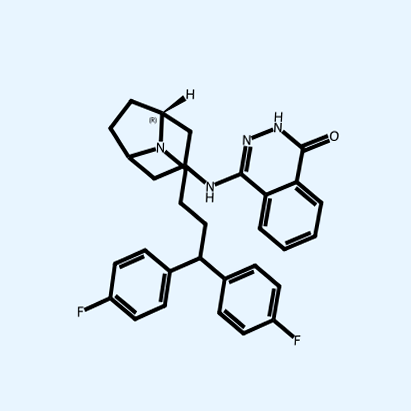 O=c1[nH]nc(NC2CC3CC[C@H](C2)N3CCCC(c2ccc(F)cc2)c2ccc(F)cc2)c2ccccc12